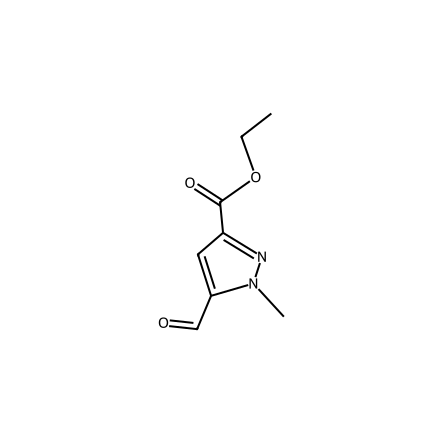 CCOC(=O)c1cc(C=O)n(C)n1